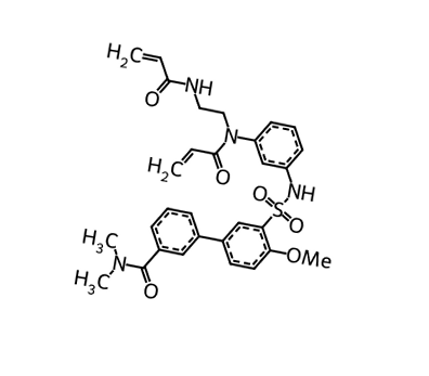 C=CC(=O)NCCN(C(=O)C=C)c1cccc(NS(=O)(=O)c2cc(-c3cccc(C(=O)N(C)C)c3)ccc2OC)c1